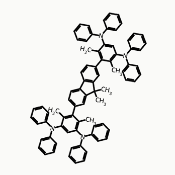 Cc1c(N(c2ccccc2)c2ccccc2)cc(N(c2ccccc2)c2ccccc2)c(C)c1-c1ccc2c(c1)C(C)(C)c1cc(-c3c(C)c(N(c4ccccc4)c4ccccc4)cc(N(c4ccccc4)c4ccccc4)c3C)ccc1-2